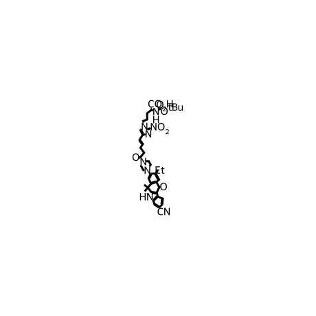 CCc1cc2c(cc1N1CCN(C(=O)CC/C=C/c3cn(CCC[C@H](NC(=O)OC(C)(C)C)C(=O)O)c([N+](=O)[O-])n3)CC1)C(C)(C)c1[nH]c3cc(C#N)ccc3c1C2=O